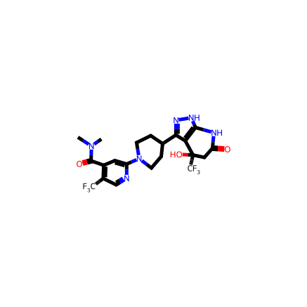 CN(C)C(=O)c1cc(N2CCC(c3n[nH]c4c3C(O)(C(F)(F)F)CC(=O)N4)CC2)ncc1C(F)(F)F